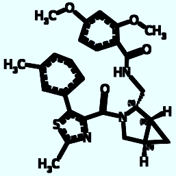 COc1ccc(C(=O)NC[C@@H]2[C@@H]3C[C@@H]3CN2C(=O)c2nc(C)sc2-c2cccc(C)c2)c(OC)c1